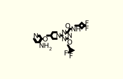 Nc1ccncc1OCC1CCN(c2nc(OCC3CC3(F)F)nc(C(=O)NCC3CC(F)(F)C3)n2)CC1